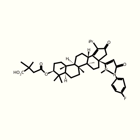 CC(C)C1=C2[C@H]3CC[C@@H]4[C@@]5(C)CC[C@H](OC(=O)CC(C)(C)C(=O)O)C(C)(C)[C@@H]5CC[C@@]4(C)[C@]3(C)CC[C@@]2(c2cc(=O)n(-c3ccc(F)cc3)n2C)CC1=O